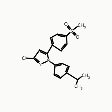 CC(C)c1ccc(-n2nc(Cl)cc2-c2ccc(S(C)(=O)=O)cc2)cc1